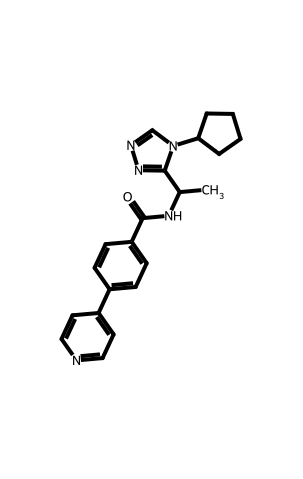 CC(NC(=O)c1ccc(-c2ccncc2)cc1)c1nncn1C1CCCC1